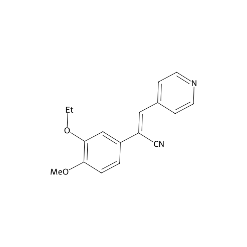 CCOc1cc(/C(C#N)=C/c2ccncc2)ccc1OC